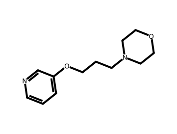 c1cncc(OCCCN2CCOCC2)c1